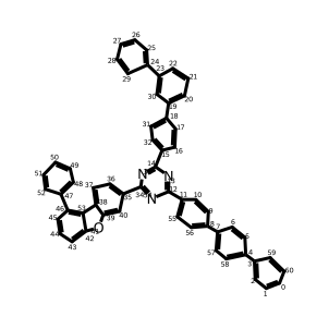 c1ccc(-c2ccc(-c3ccc(-c4nc(-c5ccc(-c6cccc(-c7ccccc7)c6)cc5)nc(-c5ccc6c(c5)oc5cccc(-c7ccccc7)c56)n4)cc3)cc2)cc1